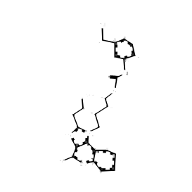 COCCc1nc2c(N)nc3ccccc3c2n1CCCCNC(=O)Nc1cccc(CN)c1